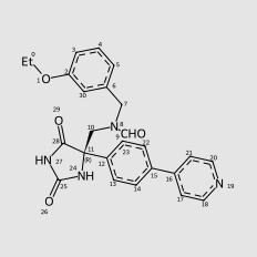 CCOc1cccc(CN(C=O)C[C@@]2(c3ccc(-c4ccncc4)cc3)NC(=O)NC2=O)c1